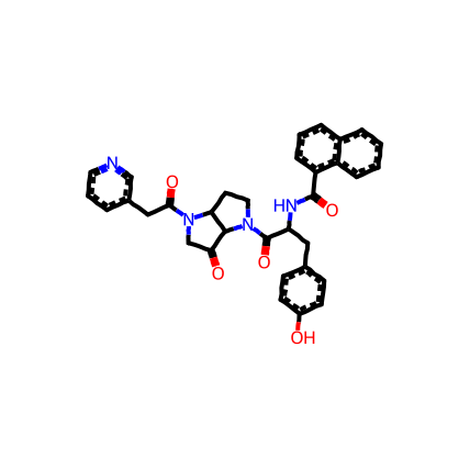 O=C(NC(Cc1ccc(O)cc1)C(=O)N1CCC2C1C(=O)CN2C(=O)Cc1cccnc1)c1cccc2ccccc12